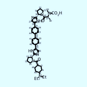 CCN(CC)C1CCC(C(=O)N2CCC[C@H]2c2ncc(-c3ccc(-c4ccc(-c5cnc([C@@H]6CCCN6C(=O)[C@H](C)N(C)C(=O)O)[nH]5)cc4)cc3)[nH]2)CC1